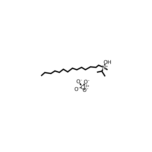 CCCCCCCCCCCCCC[N+](C)(O)C(C)C.[O-][Cl+3]([O-])([O-])[O-]